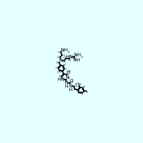 Cc1ccc(CCNC(=O)Nc2nc(=O)c(-c3ccc(CN(CCCN)CCCNC(=N)N)cc3)c[nH]2)c(Cl)c1